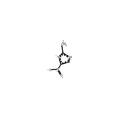 Cc1nc([N+](=O)[O-])c[se]1